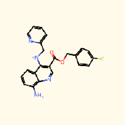 Nc1cccc2c(NCc3ccccn3)c(C(=O)OCc3ccc(F)cc3)cnc12